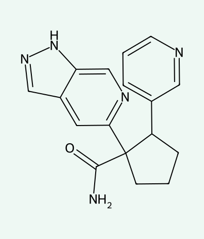 NC(=O)C1(c2cc3cn[nH]c3cn2)CCCC1c1cccnc1